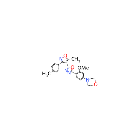 COc1cc(N2CCOCC2)ccc1-c1nnc(-c2c(-c3ccc(C)cc3)noc2C)o1